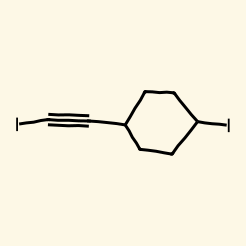 IC#CC1CCC(I)CC1